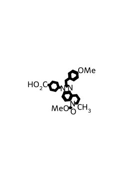 COC(=O)N1c2ccc3c(nc(Cc4ccc(OC)cc4)n3C3CCC(C(=O)O)CC3)c2CC[C@@H]1C